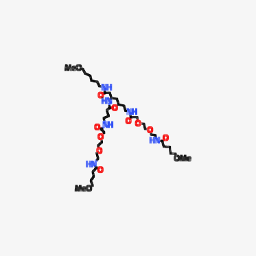 COCCCCCCNC(=O)CC(CCCCNC(=O)COCCOCCNC(=O)CCCCOC)NC(=O)CCCNC(=O)COCCOCCNC(=O)CCCCOC